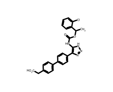 CC(OC(=O)Nc1[nH]nnc1-c1ccc(-c2ccc(CC(=O)O)cc2)cc1)c1ccccc1Cl